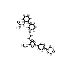 Cc1oc(-c2ccc(N3CCOCC3)nc2)nc1CCOc1cccc(-c2ccccc2CC(=O)O)c1